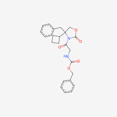 O=C(NCC(=O)N1C(=O)OCC1(Cc1ccccc1)C1CCC1)OCc1ccccc1